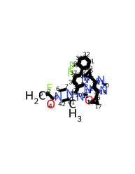 C=C(F)C(=O)N1CCN(c2nc(=O)n(-c3c(C4CC4)ncnc3C3CC3)c3nc(-c4ccccc4F)c(F)cc23)[C@@H](C)C1